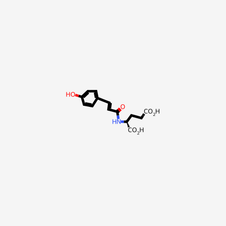 O=C(O)CC[C@H](NC(=O)/C=C/c1ccc(O)cc1)C(=O)O